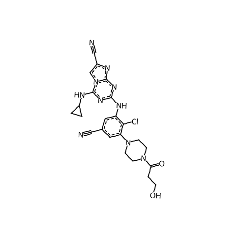 N#Cc1cc(Nc2nc(NC3CC3)n3cc(C#N)nc3n2)c(Cl)c(N2CCN(C(=O)CCO)CC2)c1